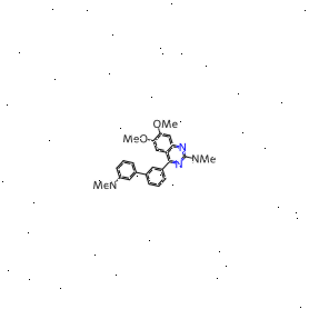 CNc1cccc(-c2cccc(-c3nc(NC)nc4cc(OC)c(OC)cc34)c2)c1